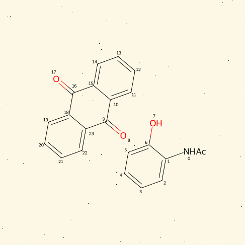 CC(=O)Nc1ccccc1O.O=C1c2ccccc2C(=O)c2ccccc21